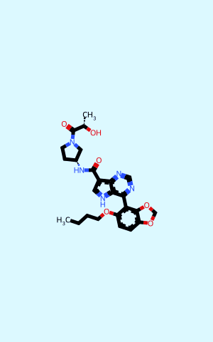 CCCCOc1ccc2c(c1-c1ncnc3c(C(=O)N[C@@H]4CCN(C(=O)[C@H](C)O)C4)c[nH]c13)OCO2